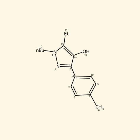 CCCCn1nc(-c2ccc(C)cc2)c(O)c1CC